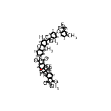 Cc1ccc(Oc2ccc(C(C)(C)c3ccc(Oc4ccc(N5C(=O)c6ccc(C(c7ccc8c(c7)C(=O)N(C)C8=O)(C(F)(F)F)C(F)(F)F)cc6C5=O)cc4C)cc3)cc2)c(C(F)(F)F)c1